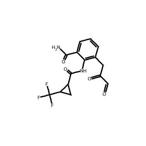 NC(=O)c1cccc(CC(=O)C=O)c1NC(=O)C1CC1C(F)(F)F